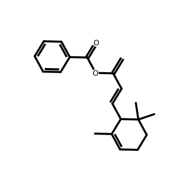 C=C(C=CC1C(C)=CCCC1(C)C)OC(=O)c1ccccc1